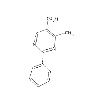 Cc1nc(-c2ccccc2)ncc1C(=O)O